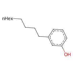 CCCCCCCCCCc1cccc(O)c1